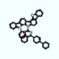 c1ccc(-c2ccc(-c3nc(-n4c5ccc6c7ccccc7oc6c5c5ccc6c7ccccc7n(-c7ccccc7)c6c54)nc4ccccc34)cc2)cc1